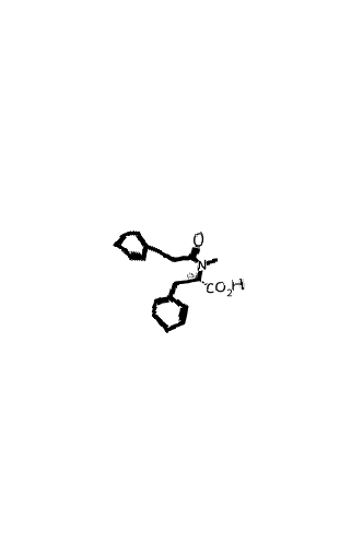 CN(C(=O)CCc1ccccc1)[C@@H](Cc1ccccc1)C(=O)O